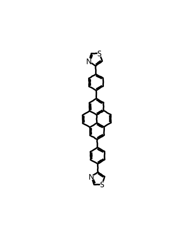 c1nc(-c2ccc(-c3cc4ccc5cc(-c6ccc(-c7cscn7)cc6)cc6ccc(c3)c4c56)cc2)cs1